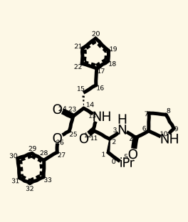 CC(C)C[C@H](NC(=O)C1CCCN1)C(=O)N[C@@H](CCc1ccccc1)C(=O)COCc1ccccc1